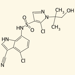 CC(C)(CO)n1ncc(S(=O)(=O)Nc2ccc(Cl)c3c(C#N)c[nH]c23)c1Cl